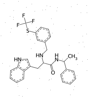 CC(NC(=O)C(Cc1c[nH]c2ccccc12)NCc1cccc(SC(F)(F)F)c1)c1ccccc1